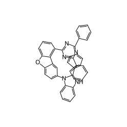 c1ccc(-c2nc(-c3ccccc3)nc(-c3cccc4oc5ccc(N6c7ccccc7NC6c6ccccc6)cc5c34)n2)cc1